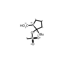 CC(C)(C)C1(OS(C)(=O)=O)CCCN1C(=O)O